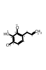 C=CCc1ccc(Cl)c(O)c1Cl